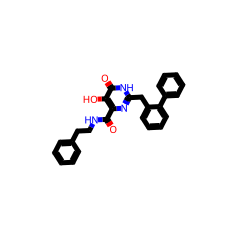 O=C(NCCc1ccccc1)c1nc(Cc2ccccc2-c2ccccc2)[nH]c(=O)c1O